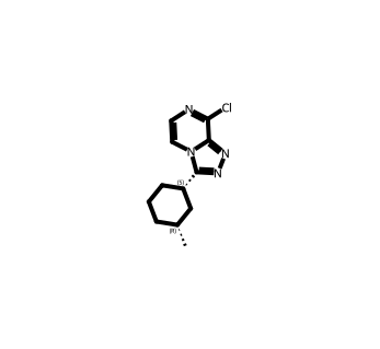 C[C@@H]1CCC[C@H](c2nnc3c(Cl)nccn23)C1